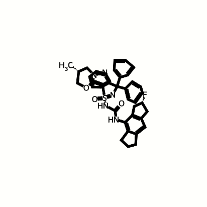 C[C@H]1COc2c([S@@](=O)(=NC(c3ccccc3)(c3ccccc3)c3ccccc3)NC(=O)Nc3c4c(cc5c3C[C@H](F)C5)CCC4)cnn2C1